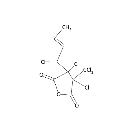 CC=CC(Cl)C1(Cl)C(=O)OC(=O)C1(Cl)C(Cl)(Cl)Cl